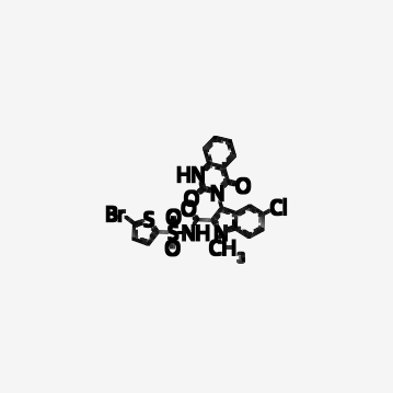 Cn1c(C(=O)NS(=O)(=O)c2ccc(Br)s2)c(-n2c(=O)[nH]c3ccccc3c2=O)c2cc(Cl)ccc21